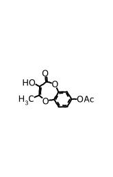 CC(=O)Oc1ccc2c(c1)OC(=O)C(O)=C(C)O2